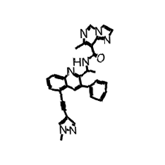 Cc1ncn2ccnc2c1C(=O)NC(C)c1nc2cccc(C#Cc3cnn(C)c3)c2cc1-c1ccccc1